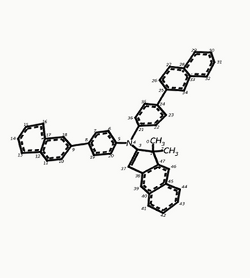 CC1(C)C(N(c2ccc(-c3ccc4ccccc4c3)cc2)c2ccc(-c3ccc4ccccc4c3)cc2)=Cc2cc3ccccc3cc21